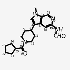 Cn1cc(C2CCN(C(=O)C3CCCC3)CC2)c2cc(NC=O)ncc21